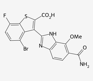 COc1c(C(N)=O)ccc2nc(-c3c(C(=O)O)sc4c(F)ccc(Br)c34)[nH]c12